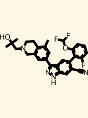 Cc1cc(-c2n[nH]c3cc(C#N)c(-c4c(F)cccc4OC(F)F)cc23)cc2c1CCN(CC(C)(C)O)C2